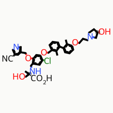 Cc1c(COc2cc(OCc3cncc(C#N)c3)c(CN[C@](C)(CO)C(=O)O)cc2Cl)cccc1-c1cccc(OCCCN2CC[C@@H](O)C2)c1C